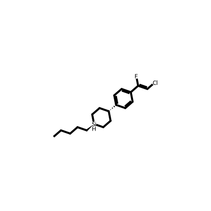 CCCCC[Si@H]1CC[C@H](c2ccc(C(F)=CCl)cc2)CC1